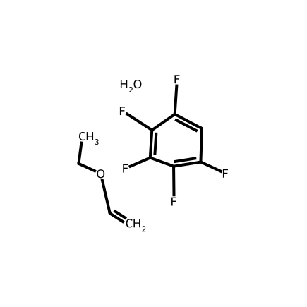 C=COCC.Fc1cc(F)c(F)c(F)c1F.O